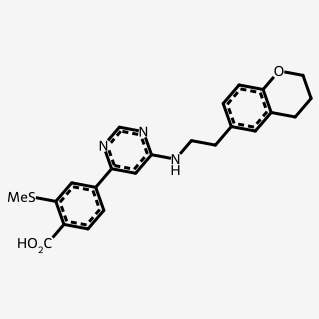 CSc1cc(-c2cc(NCCc3ccc4c(c3)CCCO4)ncn2)ccc1C(=O)O